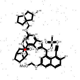 C#Cc1c(F)ccc2cc(OCOC)cc([C@@H](OS(C)(=O)=O)c3nc4c(N5CC6CCC(C5)N6C(=O)OC(C)(C)C)nc(OC[C@@]56CCCN5C[C@H](F)C6)nc4s3)c12